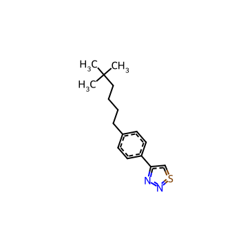 CC(C)(C)CCCCc1ccc(-c2csnn2)cc1